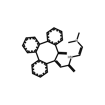 C=C(/C=C1\C(=C)c2ccccc2-c2ccccc2-c2ccccc21)N/C=C\N(C)C